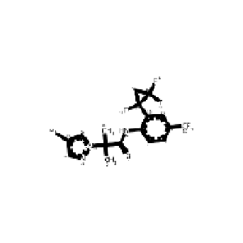 CC(C)(C(=O)Nc1ccc(C(F)(F)F)cc1C1(F)CC1(F)F)n1cc(I)cn1